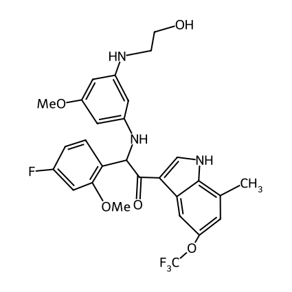 COc1cc(NCCO)cc(NC(C(=O)c2c[nH]c3c(C)cc(OC(F)(F)F)cc23)c2ccc(F)cc2OC)c1